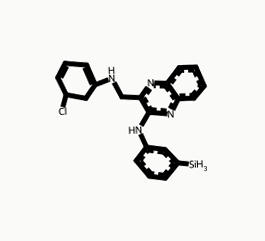 [SiH3]c1cccc(Nc2nc3ccccc3nc2CNC2=CC=CC(Cl)C2)c1